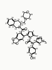 Cc1ccc(-c2cc3c(cc2C(=O)N2Cc4ccccc4C[C@H]2CN2CCOCC2)OCO3)n1C(=O)N(c1ccc(O)cc1)c1cnn(C)c1